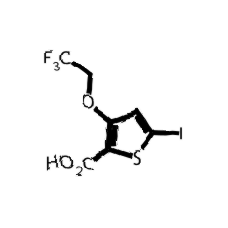 O=C(O)c1sc(I)cc1OCC(F)(F)F